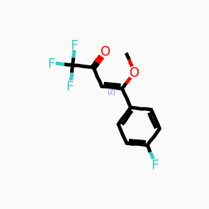 CO/C(=C\C(=O)C(F)(F)F)c1ccc(F)cc1